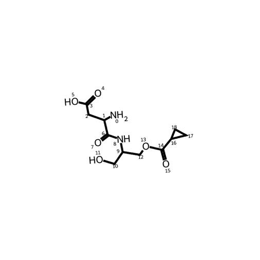 NC(CC(=O)O)C(=O)NC(CO)COC(=O)C1CC1